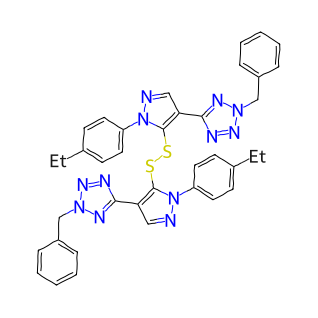 CCc1ccc(-n2ncc(-c3nnn(Cc4ccccc4)n3)c2SSc2c(-c3nnn(Cc4ccccc4)n3)cnn2-c2ccc(CC)cc2)cc1